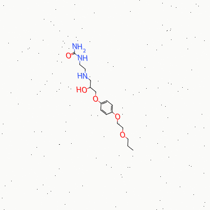 CCCOCCOc1ccc(OCC(O)CNCCNC(N)=O)cc1